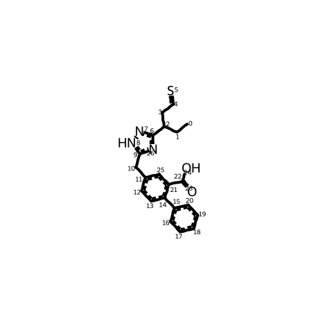 CCC(CC=S)c1n[nH]c(Cc2ccc(-c3ccccc3)c(C(=O)O)c2)n1